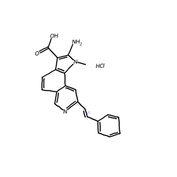 Cl.Cn1c(N)c(C(=O)O)c2ccc3cnc(/C=C/c4ccccc4)cc3c21